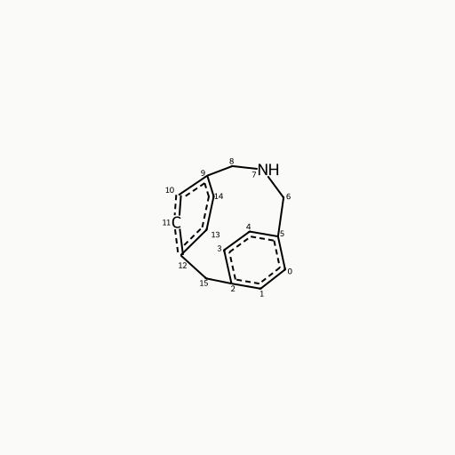 c1cc2ccc1CNCc1ccc(cc1)C2